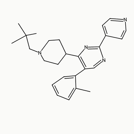 Cc1ccccc1-c1cnc(-c2ccncc2)nc1C1CCN(CC(C)(C)C)CC1